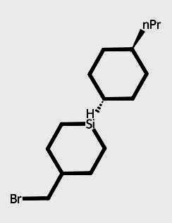 CCC[C@H]1CC[C@H]([SiH]2CCC(CBr)CC2)CC1